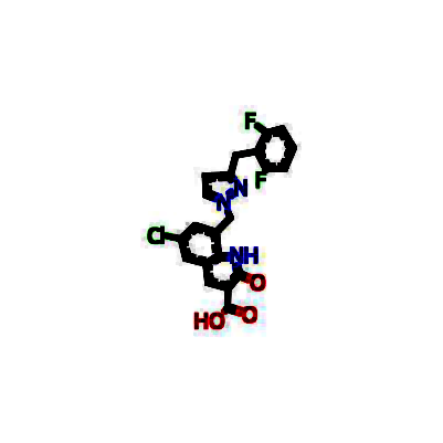 O=C(O)c1cc2cc(Cl)cc(Cn3ccc(Cc4c(F)cccc4F)n3)c2[nH]c1=O